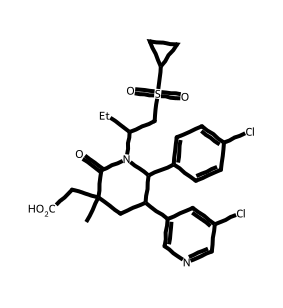 CCC(CS(=O)(=O)C1CC1)N1C(=O)C(C)(CC(=O)O)CC(c2cncc(Cl)c2)C1c1ccc(Cl)cc1